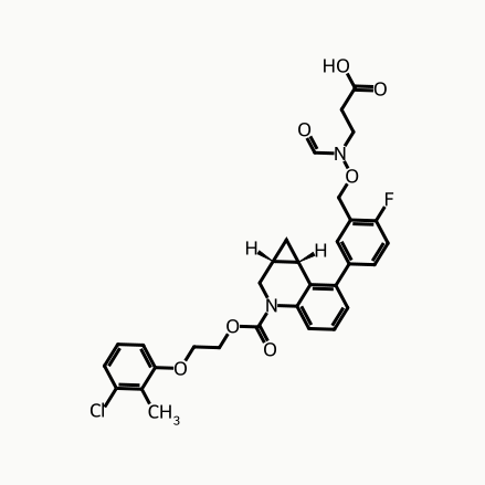 Cc1c(Cl)cccc1OCCOC(=O)N1C[C@@H]2C[C@@H]2c2c(-c3ccc(F)c(CON(C=O)CCC(=O)O)c3)cccc21